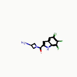 NC1CN(C(=O)c2cc3cc(Cl)c(F)c(F)c3[nH]2)C1